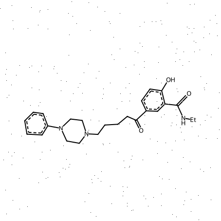 CCNC(=O)c1cc(C(=O)CCCCN2CCN(c3ccccc3)CC2)ccc1O